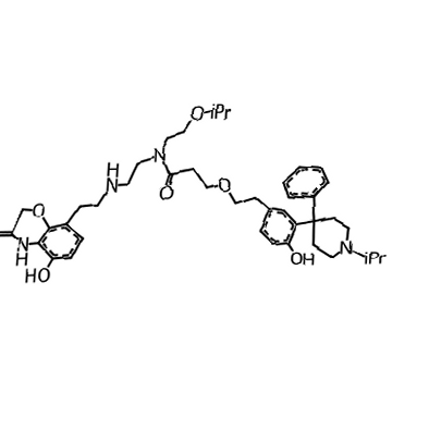 CC(C)OCCN(CCNCCc1ccc(O)c2c1OCC(=O)N2)C(=O)CCOCCc1ccc(O)c(C2(c3ccccc3)CCN(C(C)C)CC2)c1